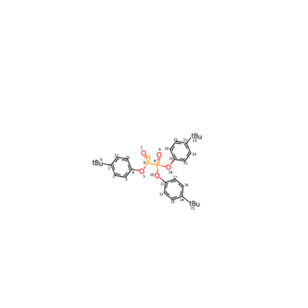 CC(C)(C)c1ccc(O[PH](=O)P(=O)(Oc2ccc(C(C)(C)C)cc2)Oc2ccc(C(C)(C)C)cc2)cc1